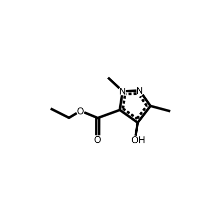 CCOC(=O)c1c(O)c(C)nn1C